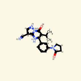 CC(C)c1c(-c2cccc(N3CCCC3=O)c2)[nH]c2c(C#N)cnn2c1=O